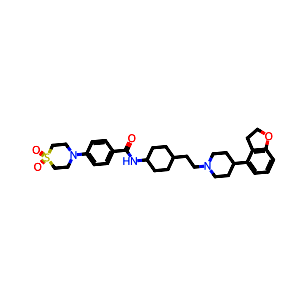 O=C(NC1CCC(CCN2CCC(c3cccc4c3CCO4)CC2)CC1)c1ccc(N2CCS(=O)(=O)CC2)cc1